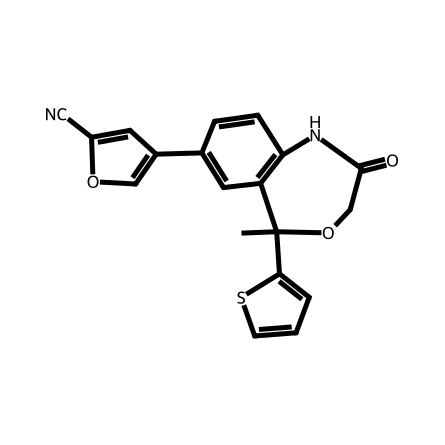 CC1(c2cccs2)OCC(=O)Nc2ccc(-c3coc(C#N)c3)cc21